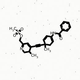 CC1CN=C(COS(C)(=O)=O)C=C1C#CC1(C)C=CC(NC(=O)c2ccccc2)=CC1